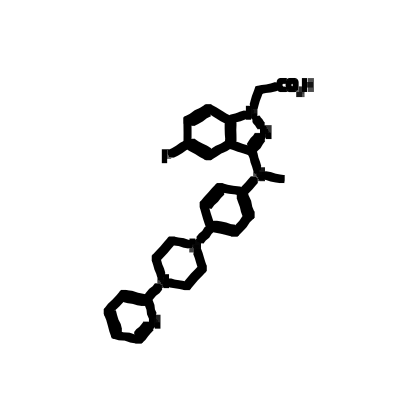 CN(c1ccc(N2CCN(c3ccccn3)CC2)cc1)c1nn(CC(=O)O)c2ccc(F)cc12